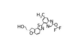 Cc1cc(-c2nc3ccc4c(c3s2)C[C@@H](CCO)O4)c2ncc(OC(F)F)nc2c1